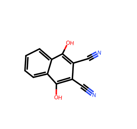 N#Cc1c(C#N)c(O)c2ccccc2c1O